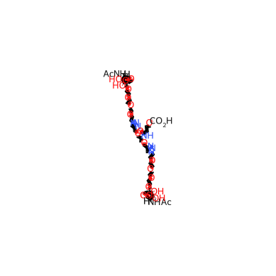 CC(=O)N[C@H]1[C@H]2OC[C@](COCCOCCOCCOCCn3cc(COCC(COCc4cn(CCOCCOCCOCCOC[C@@]56CO[C@@H](O5)[C@H](NC(C)=O)[C@@H](O)[C@H]6O)nn4)NC(=O)CCCOC(=O)O)nn3)(O2)[C@H](O)[C@@H]1O